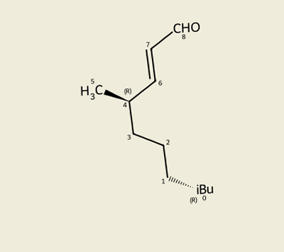 CC[C@@H](C)CCC[C@@H](C)C=CC=O